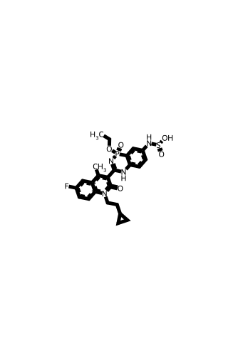 CCOP1(=O)N=C(c2c(C)c3cc(F)ccc3n(CCC3CC3)c2=O)Nc2ccc(NS(=O)O)cc21